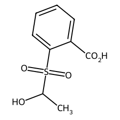 CC(O)S(=O)(=O)c1ccccc1C(=O)O